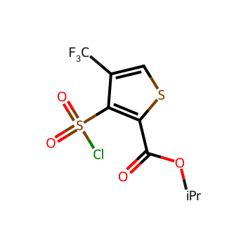 CC(C)OC(=O)c1scc(C(F)(F)F)c1S(=O)(=O)Cl